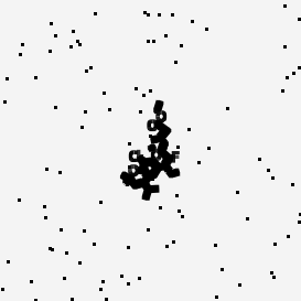 CCOC(=O)/C=C(C)/C=C/C(F)=C(/CC)c1cc2c(c(Cl)c1OC)OC(C)(C)C=C2C(C)C